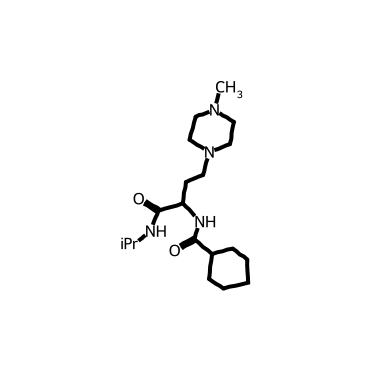 CC(C)NC(=O)C(CCN1CCN(C)CC1)NC(=O)C1CCCCC1